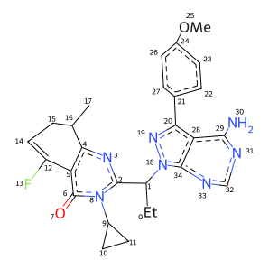 CCC(c1nc2c(c(=O)n1C1CC1)C(F)=CCC2C)n1nc(-c2ccc(OC)cc2)c2c(N)ncnc21